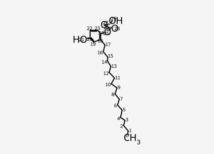 CCCCCCCCCCCCCCCCCCc1cc(O)ccc1OS(=O)(=O)O